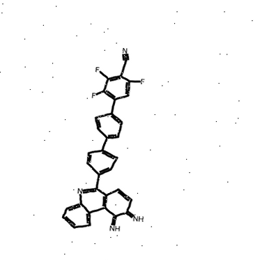 N#Cc1c(F)cc(-c2ccc(-c3ccc(-c4nc5ccccc5c5c4C=CC(=N)C5=N)cc3)cc2)c(F)c1F